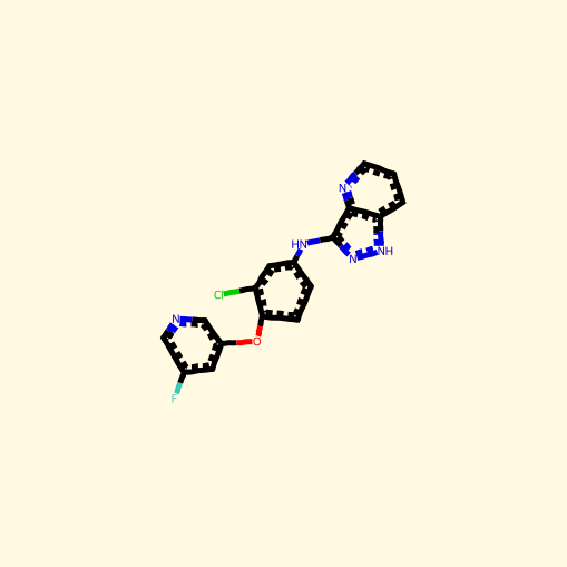 Fc1cncc(Oc2ccc(Nc3n[nH]c4cccnc34)cc2Cl)c1